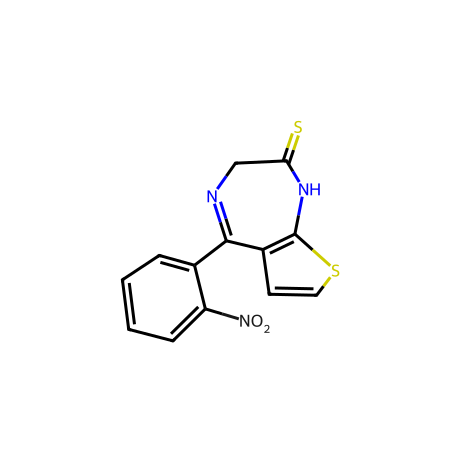 O=[N+]([O-])c1ccccc1C1=NCC(=S)Nc2sccc21